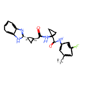 O=C(NC1(C(=O)Nc2cc(F)cc(C(F)(F)F)c2)CC1)[C@H]1C[C@@H]1c1nc2ccccc2[nH]1